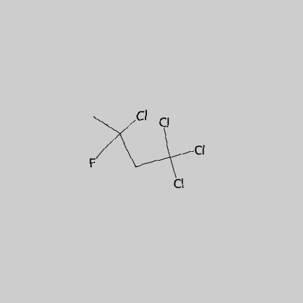 CC(F)(Cl)CC(Cl)(Cl)Cl